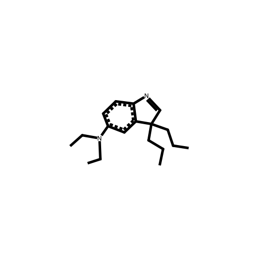 CCCC1(CCC)C=Nc2ccc(N(CC)CC)cc21